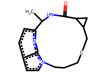 CC1NC(=O)C2CC2CCCCCn2ccc3ccc1nc32